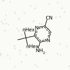 CCCCCCC(C)(CCCCCC)c1nc(C#N)cnc1N